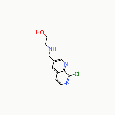 OCCNCc1cnc2c(Cl)nccc2c1